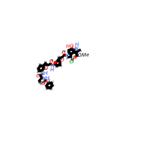 COC(=O)c1c(C)[nH]c2c(O)cc3c(c12)[C@H](CCl)CN3C(=O)c1cc2cc(NC(=O)c3cc4cccc(NC(=O)C(CC(C)C)NC(=O)Oc5ccccc5)c4o3)ccc2o1